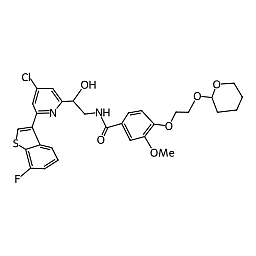 COc1cc(C(=O)NCC(O)c2cc(Cl)cc(-c3csc4c(F)cccc34)n2)ccc1OCCOC1CCCCO1